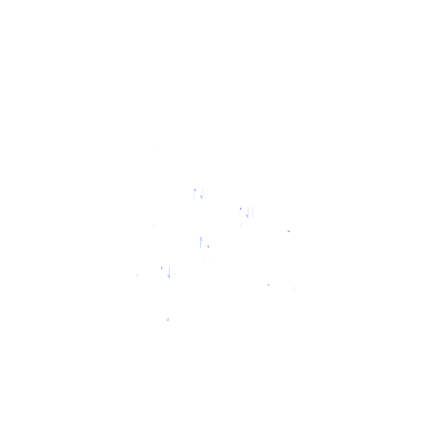 CCN(CC)c1cc(CC(C)C)nc(Nc2ccc(F)cc2)n1